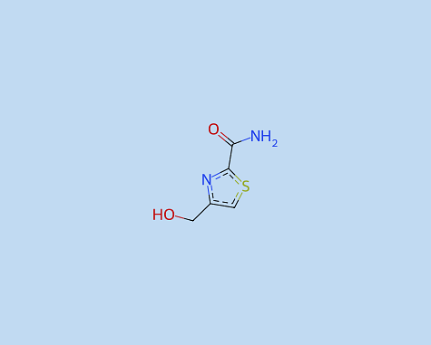 NC(=O)c1nc(CO)cs1